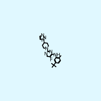 Cc1ccc(C(C)(C)C)cc1Nc1nc(N2CCC(n3ccnn3)CC2)ncc1F